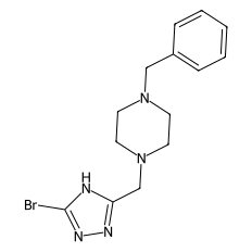 Brc1nnc(CN2CCN(Cc3ccccc3)CC2)[nH]1